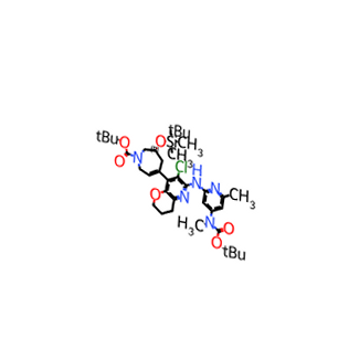 Cc1cc(N(C)C(=O)OC(C)(C)C)cc(Nc2nc3c(c(C4=CCN(C(=O)OC(C)(C)C)C[C@H](O[Si](C)(C)C(C)(C)C)C4)c2Cl)OCCC3)n1